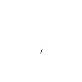 CC1CCCC[C@]1(C)C(=O)O